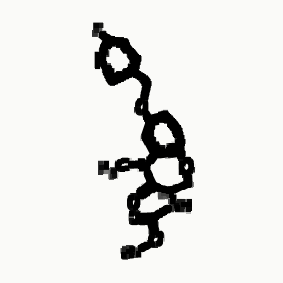 CN1C(=O)[C@@H](NC(=O)OC(C)(C)C)COc2ccc(OCc3ccc(F)nc3)cc21